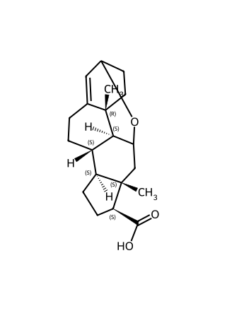 C[C@]12CC3OC4C=C5CC[C@@H]([C@@H]1CC[C@@H]2C(=O)O)[C@H]3[C@@]5(C)CC4